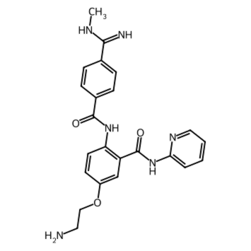 CNC(=N)c1ccc(C(=O)Nc2ccc(OCCN)cc2C(=O)Nc2ccccn2)cc1